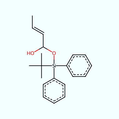 CC=CC(O)O[Si](c1ccccc1)(c1ccccc1)C(C)(C)C